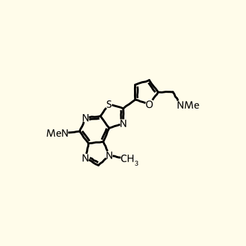 CNCc1ccc(-c2nc3c(nc(NC)c4ncn(C)c43)s2)o1